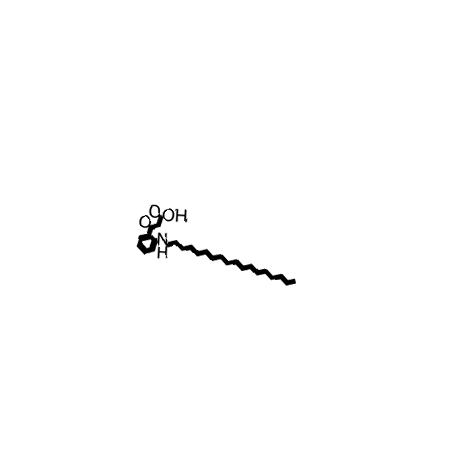 CCCCCCCCCCCCCCCCCCNc1ccccc1C(=O)CC(=O)O